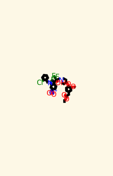 CCOC(=O)Cc1ccc(OC2CCN(CC(O)(c3cn(Cc4ccccc4Cl)c4cc([N+](=O)[O-])ccc34)C(F)(F)F)CC2)c(OC)c1